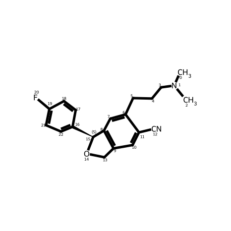 CN(C)CCCc1cc2c(cc1C#N)CO[C@H]2c1ccc(F)cc1